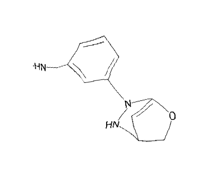 [NH]c1cccc(N2NC3C=C2OC3)c1